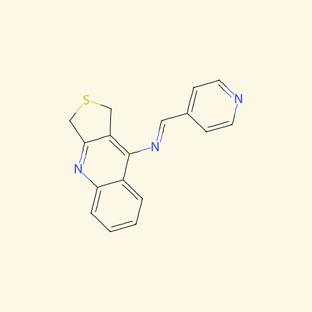 C(=N\c1c2c(nc3ccccc13)CSC2)/c1ccncc1